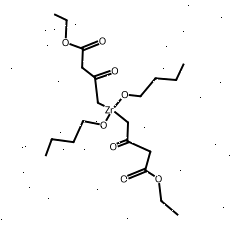 CCCC[O][Zr]([CH2]C(=O)CC(=O)OCC)([CH2]C(=O)CC(=O)OCC)[O]CCCC